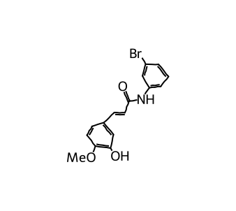 COc1ccc(/C=C/C(=O)Nc2cccc(Br)c2)cc1O